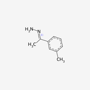 C/C(=N\N)c1cccc(C)c1